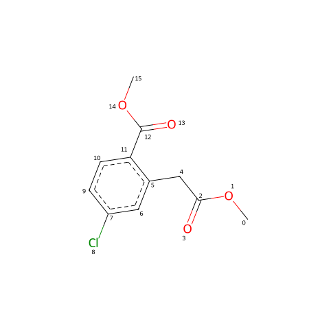 COC(=O)Cc1cc(Cl)ccc1C(=O)OC